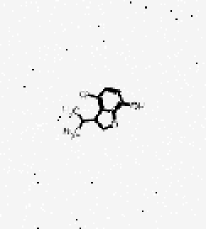 CC(C)C1COc2c(O)ccc(Cl)c21